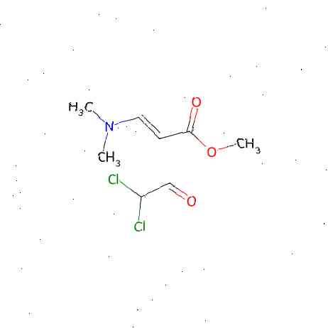 COC(=O)C=CN(C)C.O=CC(Cl)Cl